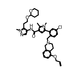 C=CCOc1cccc2c1CCN(Cc1ccc(Cl)cc1-c1cc(C(=O)Nc3cnn(C)c3CCOC3CCCCO3)c(C)n1C)C2